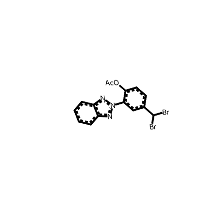 CC(=O)Oc1ccc(C(Br)Br)cc1-n1nc2ccccc2n1